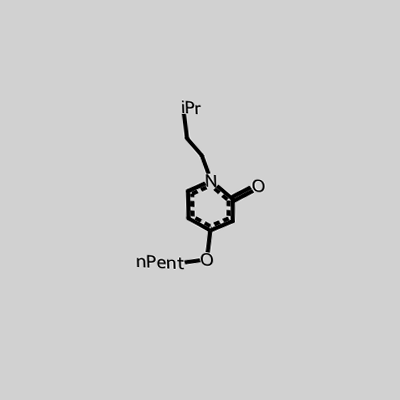 CCCCCOc1ccn(CCC(C)C)c(=O)c1